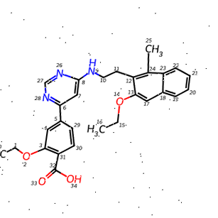 CCOc1cc(-c2cc(NCCc3c(OCC)cc4ccccc4c3C)ncn2)ccc1C(=O)O